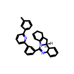 Cc1cccc(-c2cccc(-c3cccc(C4=NC5C=CC=CC5[C@H]5CC6=C(C=CCC6)N45)c3)n2)c1